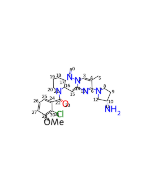 C=NN1C=C(C)C(N2CC[C@H](N)C2)=N/C1=C/C1CCCCN1C(=O)c1cccc(OC)c1Cl